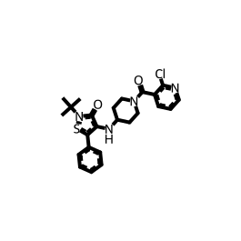 CC(C)(C)n1sc(-c2ccccc2)c(NC2CCN(C(=O)c3cccnc3Cl)CC2)c1=O